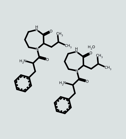 CC(C)CC1C(=O)NCCCN1C(=O)C(N)Cc1ccccc1.CC(C)CC1C(=O)NCCCN1C(=O)C(N)Cc1ccccc1.O